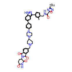 Cc1cc(-c2n[nH]c3ccc(-c4ccc(N5CCN(C6CCN(Cc7ccc8c(c7)C(=O)N(C7CCC(=O)NC7=O)C8=O)CC6)CC5)cc4)cc23)ccc1CNC(=O)c1nc(C(C)(C)C)no1